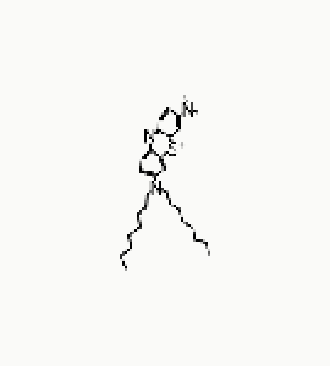 CCCCCCCCN(CCCCCCCC)c1ccc2nc3ccc(N(C)C)cc3[s+]c2c1